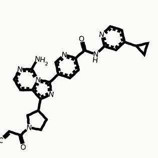 C=CC(=O)N1CCC(c2nc(-c3ccc(C(=O)Nc4cc(C5CC5)ccn4)nc3)n3c(N)nccc23)C1